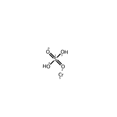 O=S(=O)(O)O.[Cr]